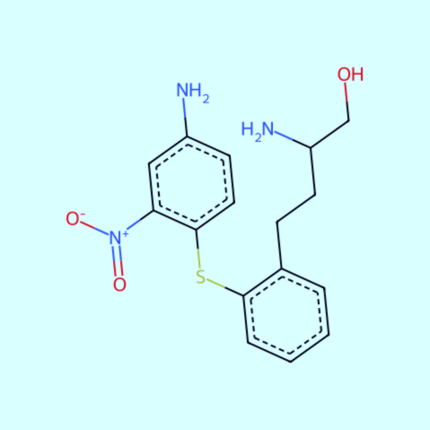 Nc1ccc(Sc2ccccc2CCC(N)CO)c([N+](=O)[O-])c1